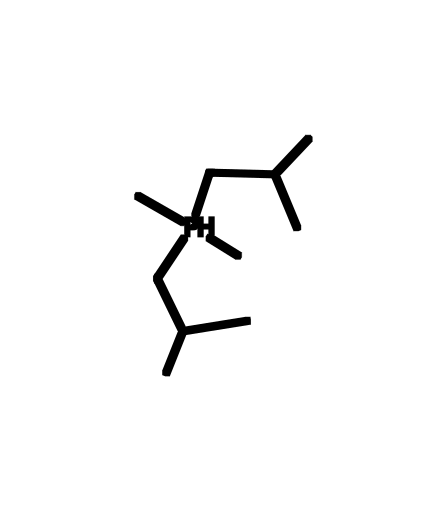 CC(C)C[PH](C)(C)CC(C)C